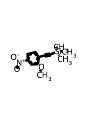 COc1cc([N+](=O)[O-])ccc1C#C[Si](C)(C)C